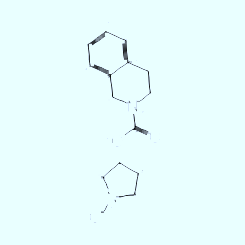 O=C(O[C@@H]1CCN(Cl)C1)N1CCc2ccccc2C1